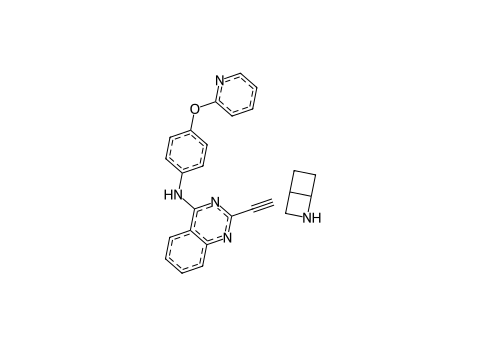 C#Cc1nc(Nc2ccc(Oc3ccccn3)cc2)c2ccccc2n1.C1CC2NCC12